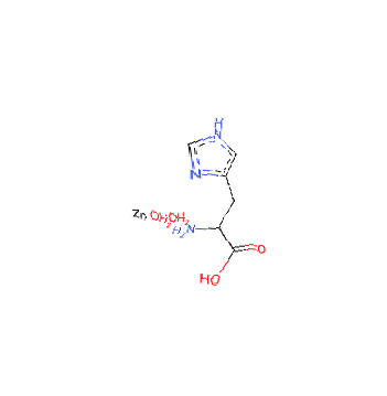 NC(Cc1c[nH]cn1)C(=O)O.O.O.[Zn]